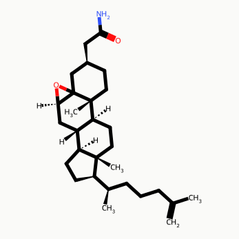 C=C(C)CCC[C@@H](C)[C@H]1CC[C@H]2[C@@H]3C[C@H]4OC45C[C@@H](CC(N)=O)CC[C@]5(C)[C@H]3CC[C@]12C